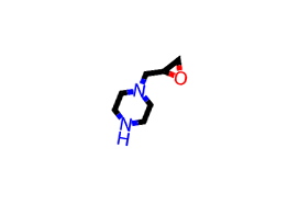 C1CN(CC2CO2)CCN1